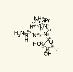 CC(C)SC12N=CN([C@@H]3O[C@H](C)[C@@H](O)[C@H]3O)C1=NC(NN)N=C2N